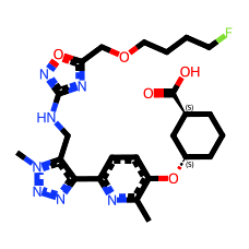 Cc1nc(-c2nnn(C)c2CNc2noc(COCCCCF)n2)ccc1O[C@H]1CCC[C@H](C(=O)O)C1